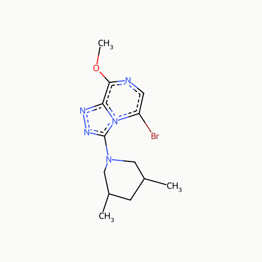 COc1ncc(Br)n2c(N3CC(C)CC(C)C3)nnc12